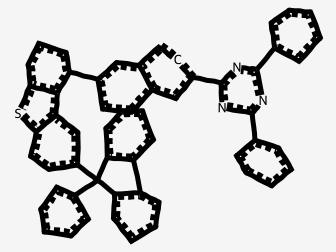 c1ccc(-c2nc(-c3ccccc3)nc(-c3ccc4cc(-c5cccc6sc7ccc(C8(c9ccccc9)c9ccccc9-c9ccccc98)cc7c56)ccc4c3)n2)cc1